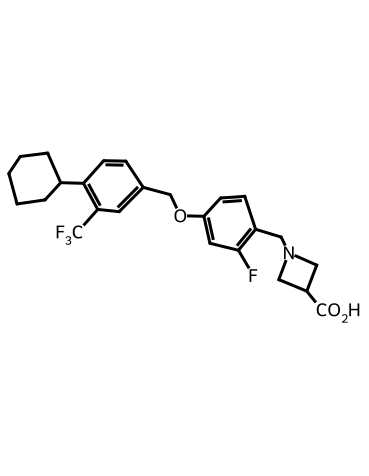 O=C(O)C1CN(Cc2ccc(OCc3ccc(C4CCCCC4)c(C(F)(F)F)c3)cc2F)C1